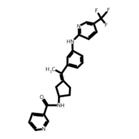 C/C(=C1/CCC(NC(=O)c2cccnc2)C1)c1cccc(Nc2ccc(C(F)(F)F)cn2)c1